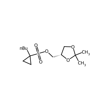 CCCCC1(S(=O)(=O)OC[C@@H]2COC(C)(C)O2)CC1